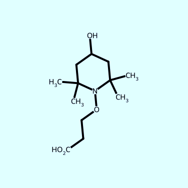 CC1(C)CC(O)CC(C)(C)N1OCCC(=O)O